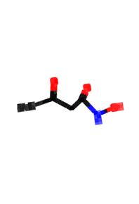 CNC(=O)CC(=O)NO